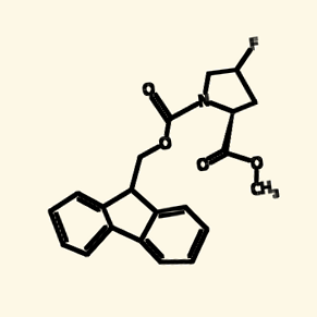 COC(=O)[C@@H]1CC(F)CN1C(=O)OCC1c2ccccc2-c2ccccc21